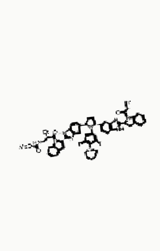 CC[C@H](CNC(=O)OC)C(=O)N1c2ccccc2C[C@H]1c1nc2cc([C@H]3CC[C@H](c4ccc5[nH]c([C@@H]6Cc7ccccc7N6C(=O)[CH]C(C)C)nc5c4)N3c3cc(F)c(N4CCCCC4)c(F)c3)ccc2[nH]1